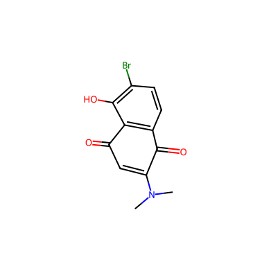 CN(C)C1=CC(=O)c2c(ccc(Br)c2O)C1=O